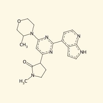 CC1COCCN1c1cc(C2CCN(C)C2=O)nc(-c2ccnc3[nH]ccc23)n1